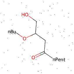 CCCCCC(=O)CC(CO)OCCCC